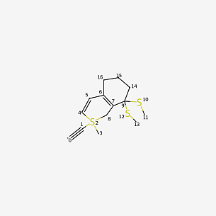 [C]#CS1(C)C=CC2=C(C1)C(SC)(SC)CCC2